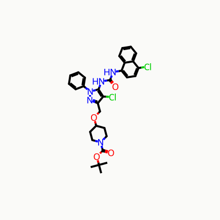 CC(C)(C)OC(=O)N1CCC(OCc2nn(-c3ccccc3)c(NC(=O)Nc3ccc(Cl)c4ccccc34)c2Cl)CC1